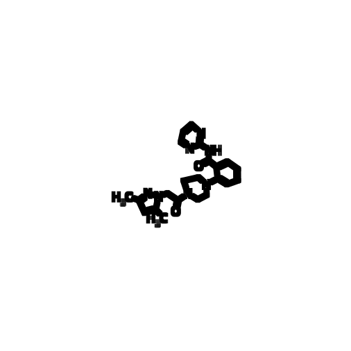 Cc1cc(C)n(CC(=O)N2CCN(c3ccccc3C(=O)Nc3ncccn3)CC2)n1